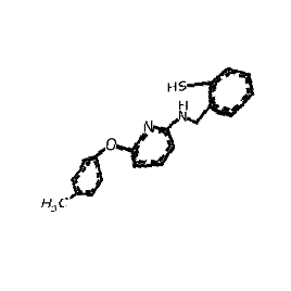 Cc1ccc(Oc2cccc(NCc3ccccc3S)n2)cc1